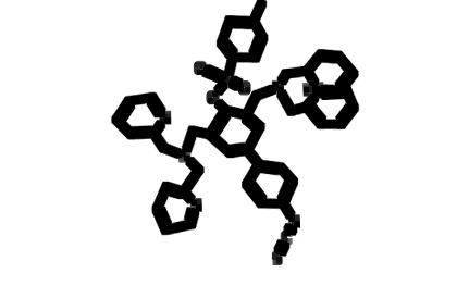 Cc1ccc(S(=O)(=O)Oc2c(CN(Cc3ccccn3)Cc3ccccn3)cc(-c3ccc(N=C=S)cc3)cc2CN(Cc2ccccn2)CC2C=CC=CN2)cc1